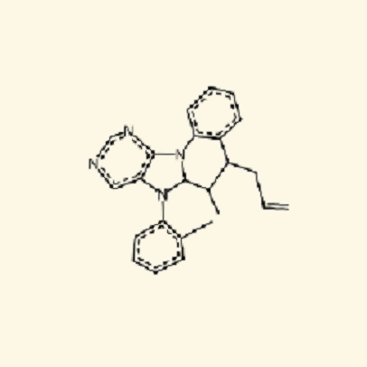 C=CCC1c2ccccc2N2c3ncncc3N(c3ccccc3C)C2C1C